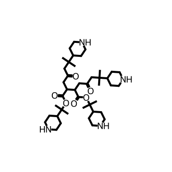 CC(C)(CC(=O)CC(C(=O)OC(C)(C)C1CCNCC1)C(CC(=O)CC(C)(C)C1CCNCC1)C(=O)OC(C)(C)C1CCNCC1)C1CCNCC1